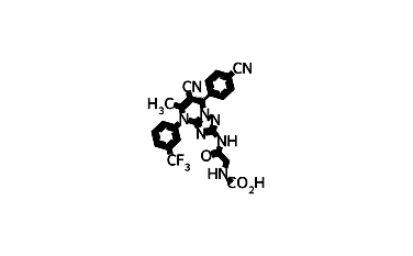 CC1=C(C#N)[C@@H](c2ccc(C#N)cc2)n2nc(NC(=O)CNC(=O)O)nc2N1c1cccc(C(F)(F)F)c1